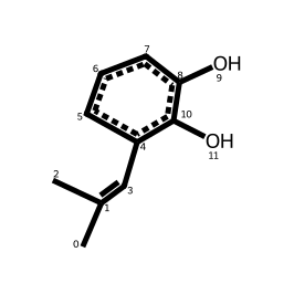 CC(C)=Cc1cccc(O)c1O